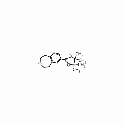 CC1(C)OB(c2ccc3c(c2)CCOCC3)OC1(C)C